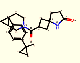 CC1(c2ccc(C34CCN(C(=O)C5CC6(CCC(=O)N6)C5)CC3C4)cc2)CC1